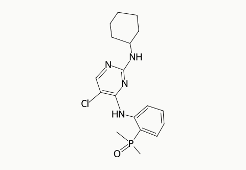 CP(C)(=O)c1ccccc1Nc1nc(NC2CCCCC2)ncc1Cl